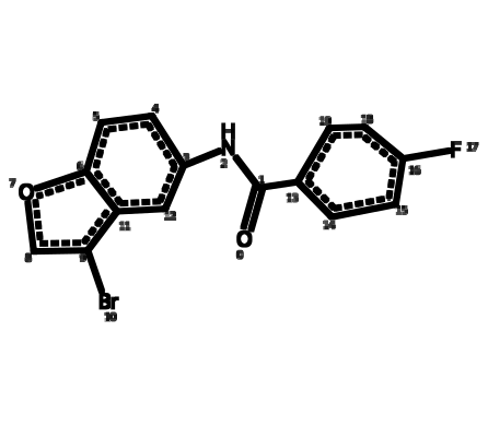 O=C(Nc1ccc2occ(Br)c2c1)c1ccc(F)cc1